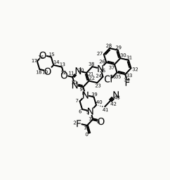 C=C(F)C(=O)N1CCN(c2nc(OCC3COCCO3)nc3c2CCN(c2cccc4ccc(F)c(Cl)c24)C3)C[C@@H]1CC#N